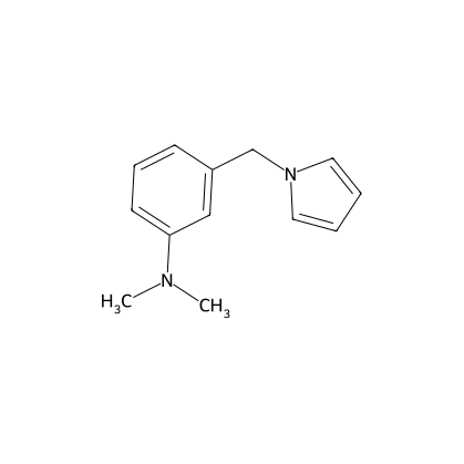 CN(C)c1cccc(Cn2cccc2)c1